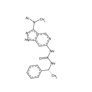 CC(=O)N(C)c1n[nH]c2cc(NC(=O)N[C@H](C)c3ccccc3)ncc12